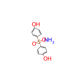 N.O=S(=O)(c1ccc(O)cc1)c1ccc(O)cc1